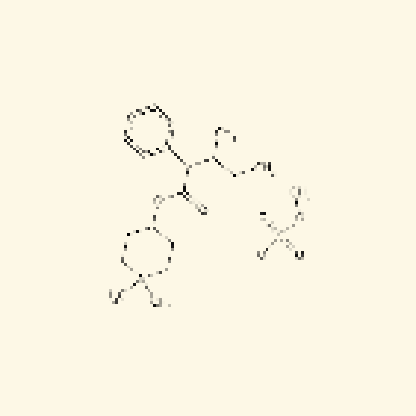 CCC(C)C(C(=O)OC1CC[N+](C)(C)CC1)c1ccccc1.COS(=O)(=O)[O-]